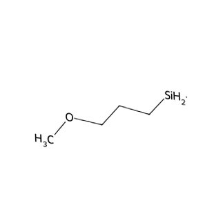 COCCC[SiH2]